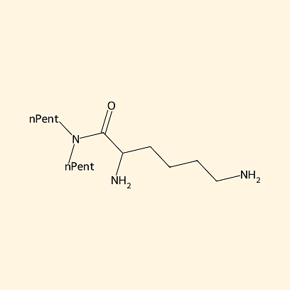 CCCCCN(CCCCC)C(=O)C(N)CCCCN